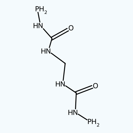 O=C(NP)NCNC(=O)NP